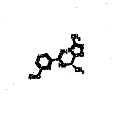 COc1cccc(C(=N)N[C@@H](C)c2nc(C)no2)n1